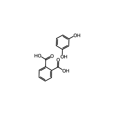 O=C(O)c1ccccc1C(=O)O.Oc1cccc(O)c1